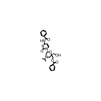 CC(C)N1C[C@H](n2ccc(NC(=O)c3ccccc3)nc2=O)O[C@](CO)(COC(=O)c2ccccc2)C1